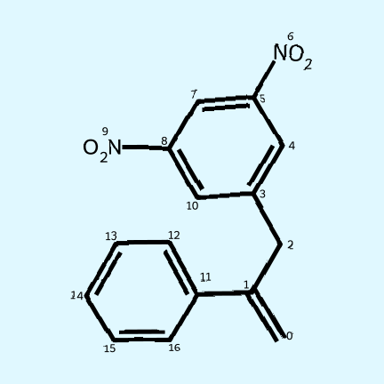 C=C(Cc1cc([N+](=O)[O-])cc([N+](=O)[O-])c1)c1ccccc1